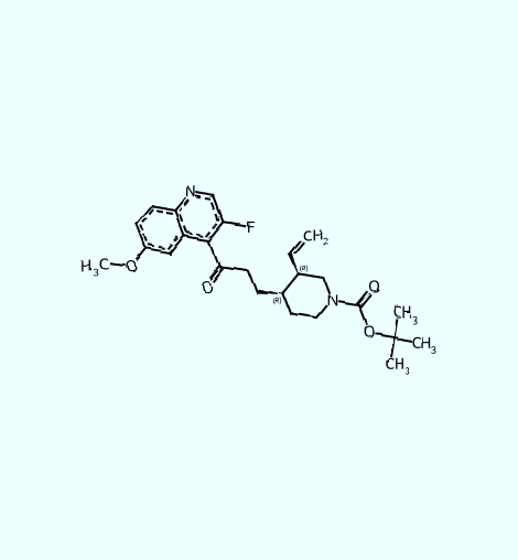 C=C[C@H]1CN(C(=O)OC(C)(C)C)CC[C@H]1CCC(=O)c1c(F)cnc2ccc(OC)cc12